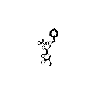 CC[C@@H]1C[C@@H]([C@@H](COCc2ccccc2)OS(C)(=O)=O)OC1=O